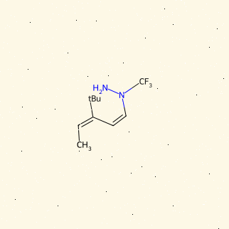 C/C=C(\C=C/N(N)C(F)(F)F)C(C)(C)C